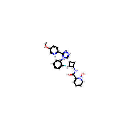 CCOc1ccc(-c2nnc([C@H]3C[C@H](NC(=O)C4=CC=CCN4O)C3)n2-c2ccccc2F)nc1